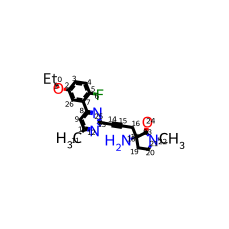 CCOc1ccc(F)c(-c2cc(C)nc(C#CC[C@@]3(N)CCN(C)C3=O)n2)c1